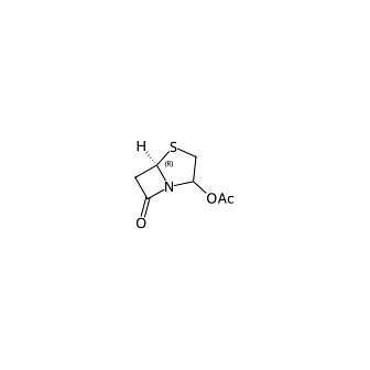 CC(=O)OC1CS[C@@H]2CC(=O)N12